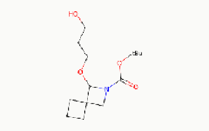 CC(C)(C)OC(=O)N1CC2(CCC2)C1OCCCO